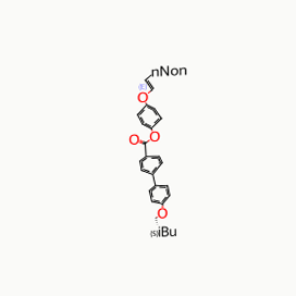 CCCCCCCCC/C=C/Oc1ccc(OC(=O)c2ccc(-c3ccc(OC[C@@H](C)CC)cc3)cc2)cc1